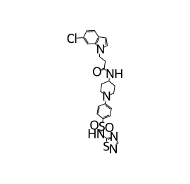 O=C(CCn1ccc2ccc(Cl)cc21)NC1CCN(c2ccc(S(=O)(=O)Nc3ncns3)cc2)CC1